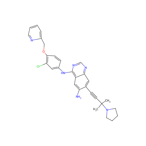 CC(C)(C#Cc1cc2ncnc(Nc3ccc(OCc4ccccn4)c(Cl)c3)c2cc1N)N1CCCC1